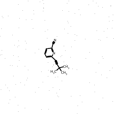 CC(C)(C)C#Cc1cccc(C#N)n1